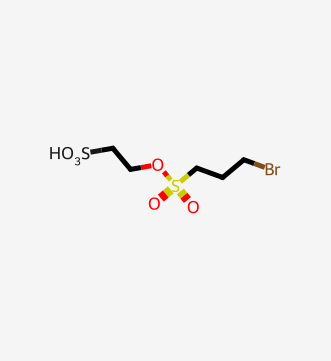 O=S(=O)(O)CCOS(=O)(=O)CCCBr